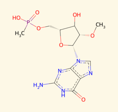 CO[C@H]1C(O)[C@@H](COP(C)(=O)O)O[C@H]1n1cnc2c(=O)[nH]c(N)nc21